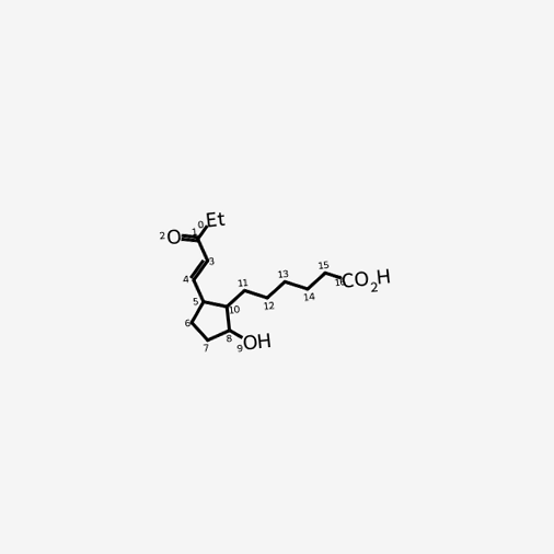 CCC(=O)C=CC1CCC(O)C1CCCCCC(=O)O